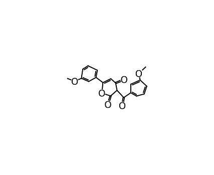 COc1cccc(C(=O)C2C(=O)C=C(c3cccc(OC)c3)OC2=O)c1